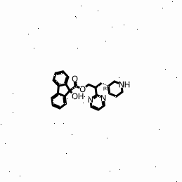 O=C(OCC(C[C@H]1CCCNC1)c1ncccn1)C1(O)c2ccccc2-c2ccccc21